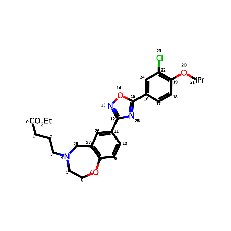 CCOC(=O)CCCN1CCOc2ccc(-c3noc(-c4ccc(OC(C)C)c(Cl)c4)n3)cc2C1